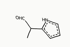 CC(C=O)c1ccc[nH]1